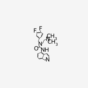 CN(C)CCN(Cc1ccc(F)c(F)c1)C(=O)Nc1cccc2cnccc12